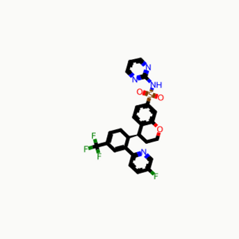 O=S(=O)(Nc1ncccn1)c1ccc2c(c1)OCC[C@H]2C1CC=C(C(F)(F)F)C=C1c1ccc(F)cn1